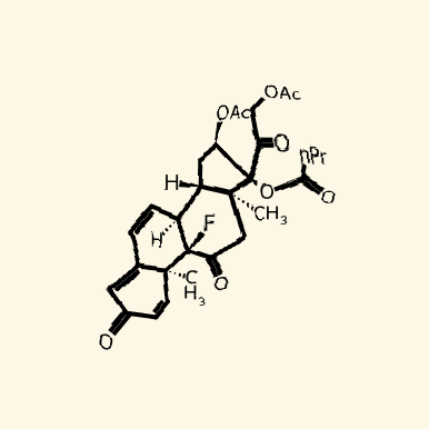 CCCC(=O)O[C@@]1(C(=O)COC(C)=O)[C@H](OC(C)=O)C[C@H]2[C@@H]3C=CC4=CC(=O)C=C[C@]4(C)[C@@]3(F)C(=O)C[C@@]21C